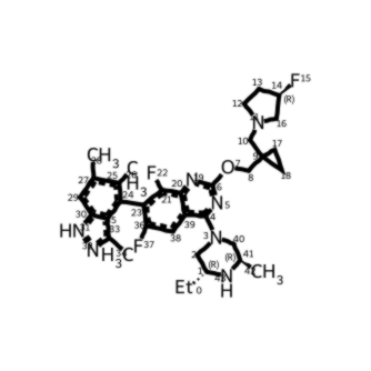 CC[C@@H]1CN(c2nc(OCC3(CN4CC[C@@H](F)C4)CC3)nc3c(F)c(-c4c(C)c(C)cc5[nH]nc(C)c45)c(F)cc23)C[C@@H](C)N1